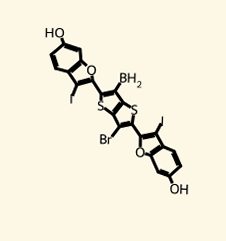 Bc1c(-c2oc3cc(O)ccc3c2I)sc2c(Br)c(-c3oc4cc(O)ccc4c3I)sc12